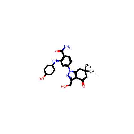 CC1(C)CC(=O)c2c(CO)nn(-c3ccc(C(N)=O)c(NC4CCC(O)CC4)c3)c2C1